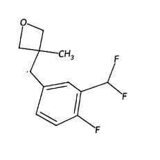 CC1([CH]c2ccc(F)c(C(F)F)c2)COC1